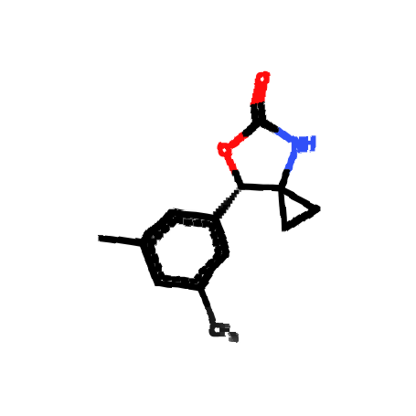 Cc1cc([C@@H]2OC(=O)NC23CC3)cc(C(F)(F)F)c1